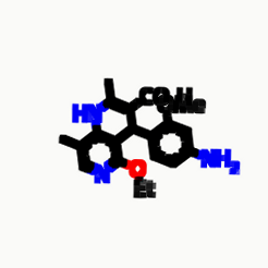 CCOc1ncc(C)c2c1C(c1ccc(N)cc1OC)C(C(=O)O)=C(C)N2